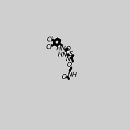 CC(=O)NCCOCc1csc(NC(=O)NCc2ccc(Cl)c(Cl)c2)n1